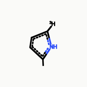 [3H]c1ccc(C)[nH]1